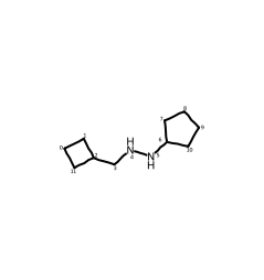 C1CC(CNNC2CCCC2)C1